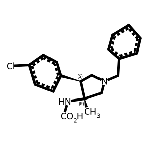 C[C@]1(NC(=O)O)CN(Cc2ccccc2)C[C@@H]1c1ccc(Cl)cc1